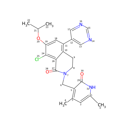 Cc1cc(C)c(CN2CCc3c(-c4cncnc4)cc(OC(C)C)c(Cl)c3C2=O)c(=O)[nH]1